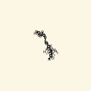 CC1(C)[C@H](NC(=O)c2c(F)cc(N3CCN(CCCOc4ccc5c(c4)C(=O)N(C4CCC(=O)NC4=O)C5=O)CC3)cc2F)C(C)(C)[C@H]1Oc1ccc(C#N)c(Cl)c1